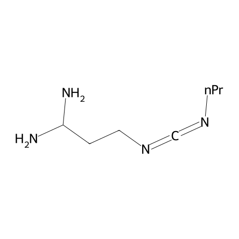 CCCN=C=NCCC(N)N